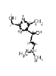 Cc1nc(CO)sc1C(=O)C=CN(C)C